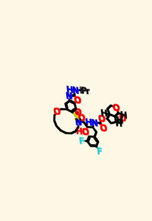 CC(C)Nc1nc2cc3c(cc2o1)S(=O)(=O)N(C[C@@H](O)[C@H](Cc1cc(F)cc(F)c1)NC(=O)O[C@H]1C[C@H]2CO[C@H]4OCC[C@@H]1[C@@H]24)CCCCCCCCOC3